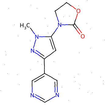 Cn1nc(-c2cncnc2)cc1N1CCOC1=O